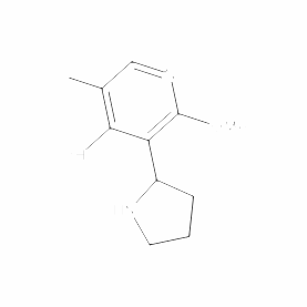 [2H]c1c(F)cnc(OC)c1C1CCCN1